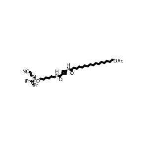 CC(=O)OCCCCCCCCCCCCCCCC(=O)NC12CC(C(=O)NCCCCCCOP(OCCC#N)N(C(C)C)C(C)C)(C1)C2